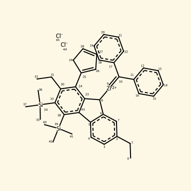 CCc1ccc2c(c1)[CH]([Zr+2]=[C](c1ccccc1)c1ccccc1)c1c(C3=CC=CC3)c(CC)c([Si](C)(C)C)c([Si](C)(C)C)c1-2.[Cl-].[Cl-]